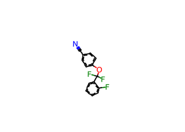 N#Cc1ccc(OC(F)(F)c2ccccc2F)cc1